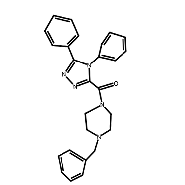 O=C(c1nnc(-c2ccccc2)n1-c1ccccc1)N1CCN(Cc2ccccc2)CC1